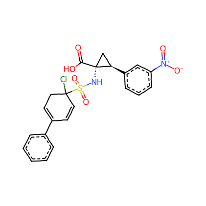 O=C(O)[C@@]1(NS(=O)(=O)C2(Cl)C=CC(c3ccccc3)=CC2)C[C@H]1c1cccc([N+](=O)[O-])c1